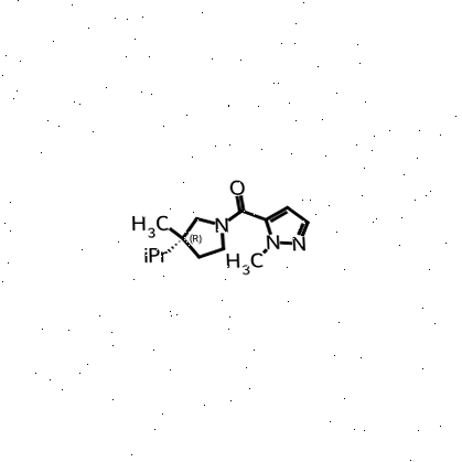 CC(C)[C@@]1(C)CCN(C(=O)c2ccnn2C)C1